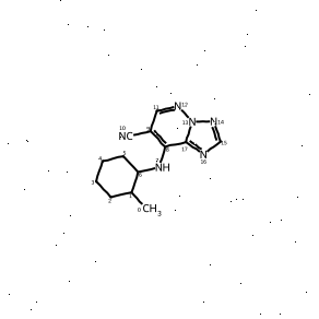 CC1CCCCC1Nc1c(C#N)cnn2ncnc12